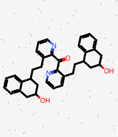 O=C(c1ncccc1CCC1CC(O)Cc2ccccc21)c1ncccc1CCC1CC(O)Cc2ccccc21